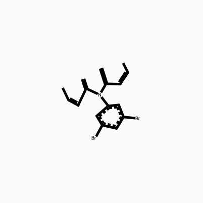 C=C(/C=C\C)N(C(=C)/C=C\C)c1cc(Br)cc(Br)c1